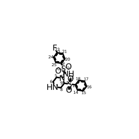 O=S(=O)(NN1CCNCC1S(=O)(=O)c1ccccc1)c1ccc(F)cc1